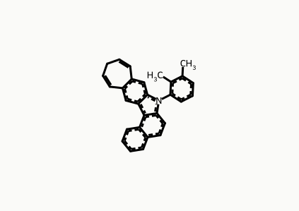 Cc1cccc(-n2c3cc4c(cc3c3c5ccccc5ccc32)C=CCC=C4)c1C